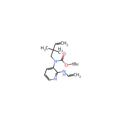 C=CNc1ncccc1N(CC(C)(C)C=C)C(=O)OC(C)(C)C